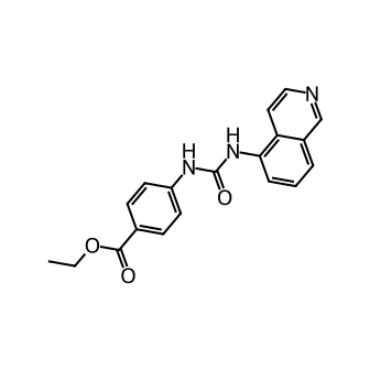 CCOC(=O)c1ccc(NC(=O)Nc2cccc3cnccc23)cc1